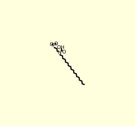 CCCCCCCCCCCCCCCCCCN(CC(O)CP(=O)=O)C(C)=O